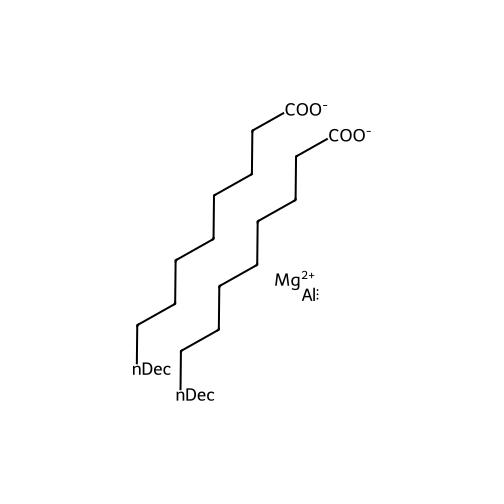 CCCCCCCCCCCCCCCCCC(=O)[O-].CCCCCCCCCCCCCCCCCC(=O)[O-].[Al].[Mg+2]